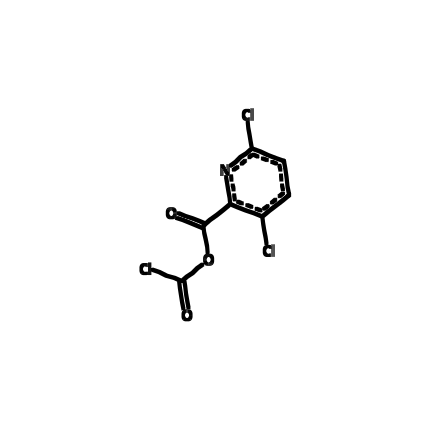 O=C(Cl)OC(=O)c1nc(Cl)ccc1Cl